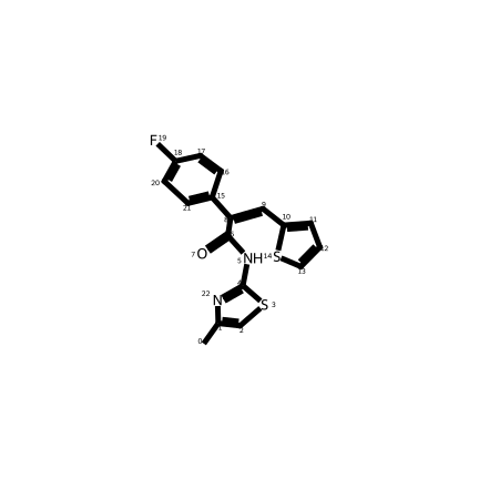 Cc1csc(NC(=O)/C(=C\c2cccs2)c2ccc(F)cc2)n1